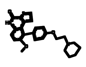 COc1ccc2[nH]c(=O)c3sccc3c2c1-c1ccc(OCCN2CCCCC2)cc1